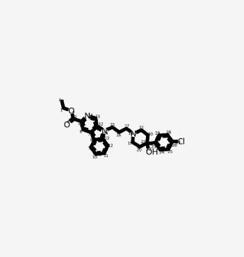 CCOC(=O)c1cc2c3ccccc3n(CCCN3CCC(O)(c4ccc(Cl)cc4)CC3)c2cn1